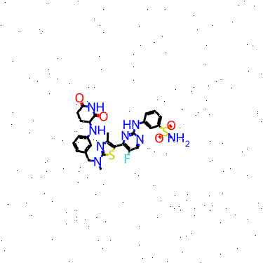 Cc1nc(N(C)Cc2cccc(NC3CCC(=O)NC3=O)c2)sc1-c1nc(Nc2cccc(S(N)(=O)=O)c2)ncc1F